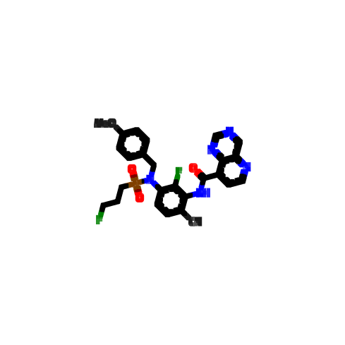 COc1ccc(CN(c2ccc(C#N)c(NC(=O)c3ccnc4cncnc34)c2F)S(=O)(=O)CCCF)cc1